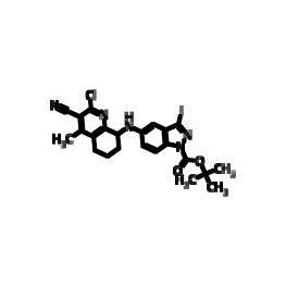 Cc1c(C#N)c(Cl)nc2c1CCCC2Nc1ccc2c(c1)c(I)nn2C(=O)OC(C)(C)C